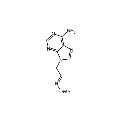 CON=CCn1cnc2c(N)ncnc21